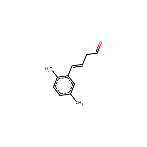 Cc1ccc(C)c(C=CC[C]=O)c1